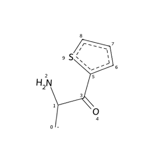 [CH2]C(N)C(=O)c1cccs1